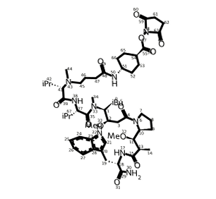 CC[C@H](C)[C@@H]([C@@H](CC(=O)N1CCC[C@H]1[C@H](OC)[C@@H](C)C(=O)N[C@@H](Cc1c[nH]c2ccccc12)C(N)=O)OC)N(C)C(=O)[C@@H](NC(=O)[C@H](C(C)C)N(C)CCCC(=O)N[C@H]1CC[C@H](C(=O)ON2C(=O)CCC2=O)CC1)C(C)C